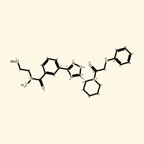 COCCN(C)C(=O)c1cccc(-c2noc([C@H]3CCCCN3C(=O)COc3ccccc3)n2)c1